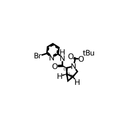 CC(C)(C)OC(=O)N1C[C@@H]2C[C@@H]2[C@H]1C(=O)Nc1cccc(Br)n1